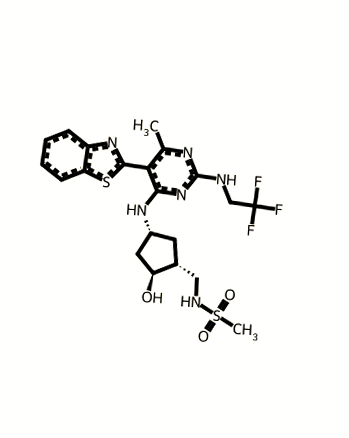 Cc1nc(NCC(F)(F)F)nc(N[C@@H]2C[C@H](CNS(C)(=O)=O)[C@@H](O)C2)c1-c1nc2ccccc2s1